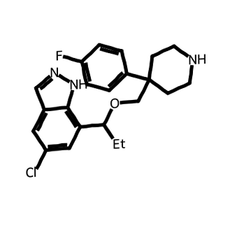 CCC(OCC1(c2ccc(F)cc2)CCNCC1)c1cc(Cl)cc2cn[nH]c12